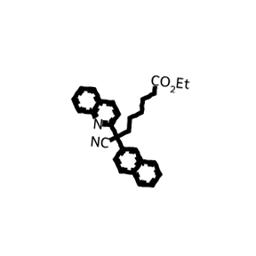 CCOC(=O)CCCCCC(C#N)(c1ccc2ccccc2c1)c1ccc2ccccc2n1